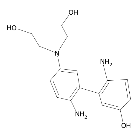 Nc1ccc(O)cc1-c1cc(N(CCO)CCO)ccc1N